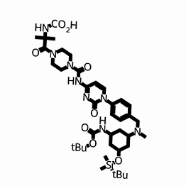 CN(Cc1ccc(-n2ccc(NC(=O)N3CCN(C(=O)C(C)(C)NC(=O)O)CC3)nc2=O)cc1)C1CC(NC(=O)OC(C)(C)C)CC(O[Si](C)(C)C(C)(C)C)C1